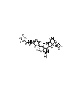 c1csc(-c2cncc3[nH]c(-c4n[nH]c5ccc(-c6cncc(CNCC7CCCC7)c6)cc45)cc23)c1